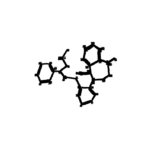 CNCC(OCc1ccccc1N1CCN(C)c2ncncc2C1=O)c1ccccc1